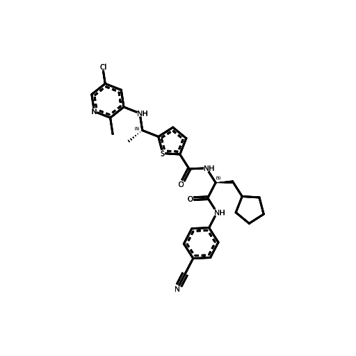 Cc1ncc(Cl)cc1N[C@@H](C)c1ccc(C(=O)N[C@@H](CC2CCCC2)C(=O)Nc2ccc(C#N)cc2)s1